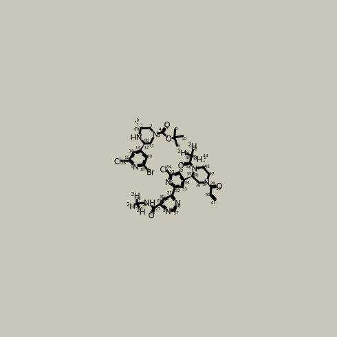 C[C@@H]1CN(C(=O)OC(C)(C)C)C[C@@H](c2cc(Cl)nc(Br)c2)N1.[2H]C([2H])([2H])NC(=O)c1cc(-c2cc([C@@H]3CN(C(=O)C=C)C[C@@H](C)N3C(=O)C([2H])([2H])[2H])cc(Cl)n2)ncn1